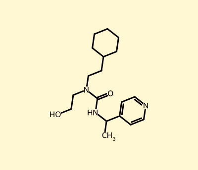 CC(NC(=O)N(CCO)CCC1CCCCC1)c1ccncc1